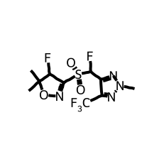 Cn1nc(C(F)S(=O)(=O)C2=NOC(C)(C)C2F)c(C(F)(F)F)n1